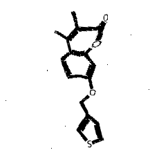 Cc1c(C)c2ccc(OCc3ccsc3)cc2oc1=O